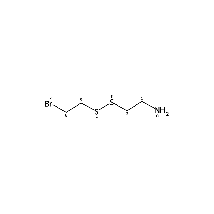 NCCSSCCBr